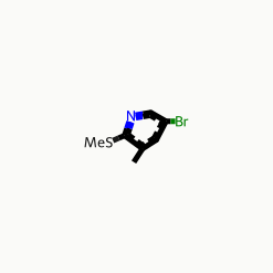 CSc1ncc(Br)cc1C